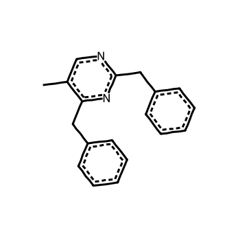 Cc1cnc(Cc2ccccc2)nc1Cc1ccccc1